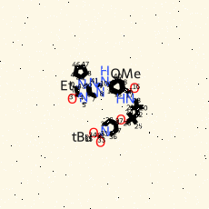 CC[C@@H]1C(=O)N(C)c2cnc(Nc3ccc(C(=O)NCC(C)(C)CC(C)(C)COC4CCN(C(=O)OC(C)(C)C)CC4)cc3OC)nc2N1C1CCCC1